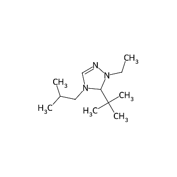 CCN1N=CN(CC(C)C)C1C(C)(C)C